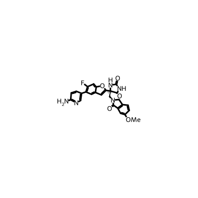 COc1ccc2c(c1)C(=O)N(C[C@@]1(c3cc4cc(-c5ccc(N)nc5)c(F)cc4o3)NC(=O)NC1=O)C2